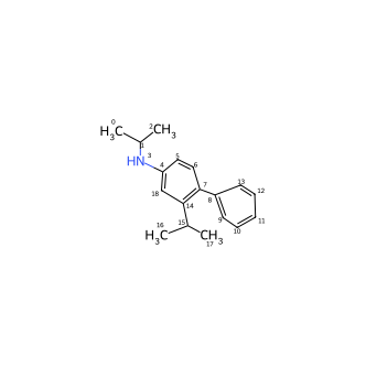 CC(C)Nc1ccc(-c2ccccc2)c(C(C)C)c1